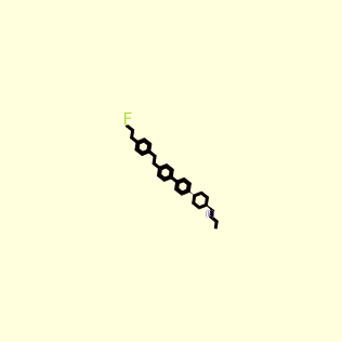 CC/C=C/[C@H]1CC[C@H](c2ccc(-c3ccc(CCc4ccc(CCCF)cc4)cc3)cc2)CC1